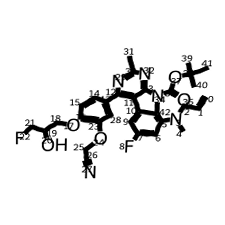 C=CCN(C)c1cc(F)cc2c3c(-c4ccc(OCC(O)CF)c(OCC#N)c4)nc(C)nc3n(C(=O)OC(C)(C)C)c12